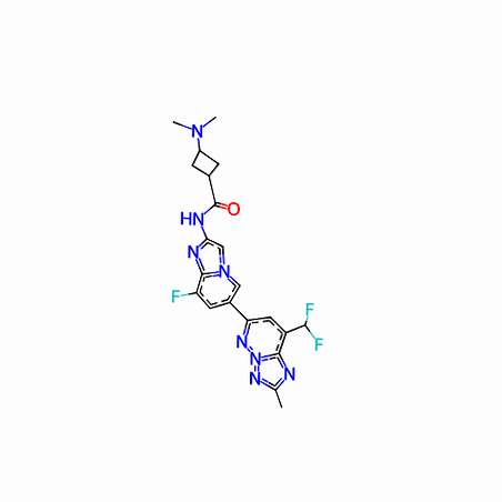 Cc1nc2c(C(F)F)cc(-c3cc(F)c4nc(NC(=O)C5CC(N(C)C)C5)cn4c3)nn2n1